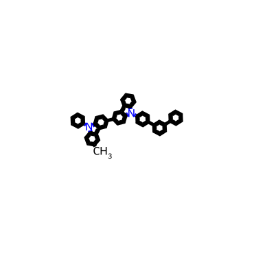 Cc1ccc2c(c1)c1cc(-c3ccc4c(c3)c3ccccc3n4-c3ccc(-c4cccc(-c5ccccc5)c4)cc3)ccc1n2-c1ccccc1